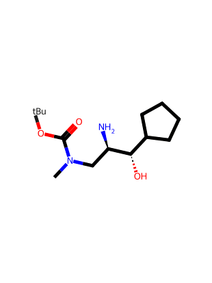 CN(C[C@@H](N)[C@@H](O)C1CCCC1)C(=O)OC(C)(C)C